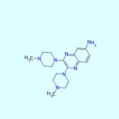 CN1CCN(c2nc3ccc(N)cc3nc2N2CCN(C)CC2)CC1